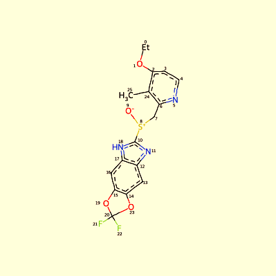 CCOc1ccnc(C[S+]([O-])c2nc3cc4c(cc3[nH]2)OC(F)(F)O4)c1C